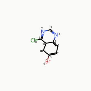 ClC1=NC=NC2=CC=C(Br)CC21